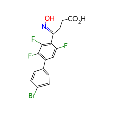 O=C(O)CCC(=NO)c1c(F)cc(-c2ccc(Br)cc2)c(F)c1F